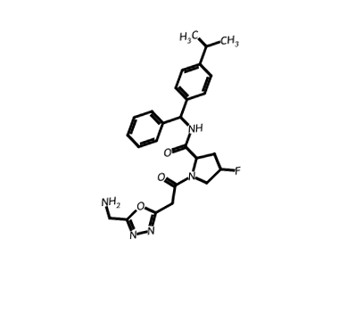 CC(C)c1ccc(C(NC(=O)C2CC(F)CN2C(=O)Cc2nnc(CN)o2)c2ccccc2)cc1